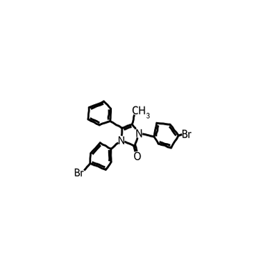 Cc1c(-c2ccccc2)n(-c2ccc(Br)cc2)c(=O)n1-c1ccc(Br)cc1